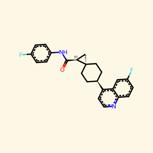 O=C(Nc1ccc(F)cc1)[C@H]1C[C@]12CC[C@H](c1ccnc3ccc(F)cc31)CC2